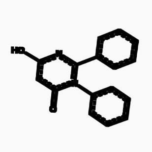 O=c1cc(O)nc(-c2ccccc2)n1-c1ccccc1